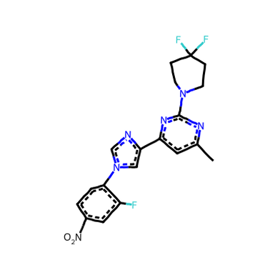 Cc1cc(-c2cn(-c3ccc([N+](=O)[O-])cc3F)cn2)nc(N2CCC(F)(F)CC2)n1